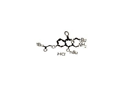 CCCCOc1c(CN)n(CC(C)(C)C)c(=O)c2ccc(OCC(=O)C(C)(C)C)cc12.Cl